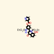 CCOC(=O)Nc1cc(OC(=O)c2cccnc2)ccc1-c1cc(=O)c2cccc(O)c2n1C(=O)OCC